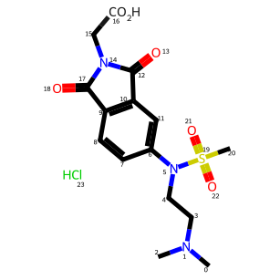 CN(C)CCN(c1ccc2c(c1)C(=O)N(CC(=O)O)C2=O)S(C)(=O)=O.Cl